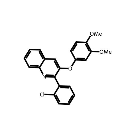 COc1ccc(Oc2cc3ccccc3nc2-c2ccccc2Cl)cc1OC